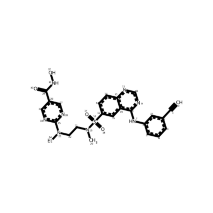 C#Cc1cccc(Nc2ncnc3ccc(S(=O)(=O)N(C)CCN(CC)c4ncc(C(=O)NO)cn4)cc23)c1